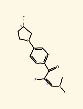 CN(C)/C=C(/F)C(=O)c1ccc(N2CC[C@H](F)C2)cn1